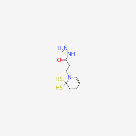 NNC(=O)CCN1C=CC=CC1(S)S